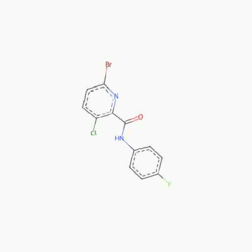 O=C(Nc1ccc(F)cc1)c1nc(Br)ccc1Cl